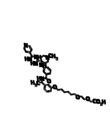 CC(NC(=O)c1cccc(NC2(C(=N)NC(=N)c3ccncc3)CCN(C)CC2)c1)c1cccc(OCCCCCCOCCOCC(=O)O)c1